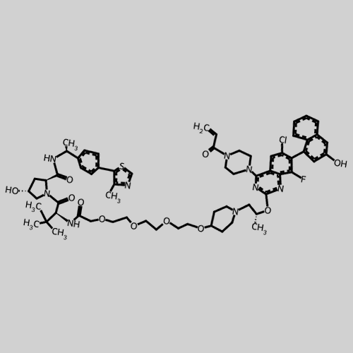 C=CC(=O)N1CCN(c2nc(O[C@H](C)CN3CCC(OCCOCCOCCOCC(=O)N[C@H](C(=O)N4C[C@H](O)C[C@H]4C(=O)N[C@@H](C)c4ccc(-c5scnc5C)cc4)C(C)(C)C)CC3)nc3c(F)c(-c4cc(O)cc5ccccc45)c(Cl)cc23)CC1